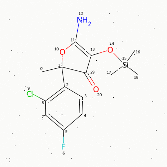 CC1(c2ccc(F)cc2Cl)OC(N)=C(O[Si](C)(C)C)C1=O